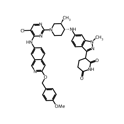 COc1ccc(COc2cc3ccc(Nc4nc(N5CC[C@@H](Nc6ccc7c(C8CCC(=O)NC8=O)nn(C)c7c6)[C@H](C)C5)ncc4Cl)cc3cn2)cc1